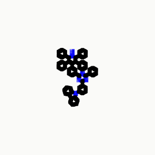 C1=CC(C2=C(c3cccc(-c4nc(-c5ccccc5)nc(-c5cccc(-n6c7ccccc7c7ccccc76)c5)n4)c3)C(c3ccccc3)=C(c3ccccc3)NC2c2ccccc2)=CCC1